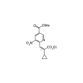 CCOC(=O)/C(=C\c1ncc(C(=O)OC)cc1[N+](=O)[O-])C1CC1